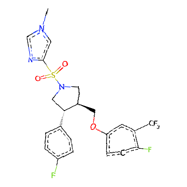 Cn1cnc(S(=O)(=O)N2C[C@@H](COc3ccc(F)c(C(F)(F)F)c3)[C@H](c3ccc(F)cc3)C2)c1